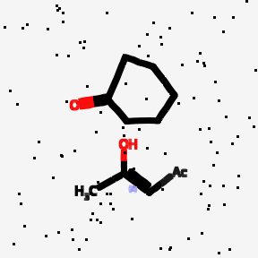 CC(=O)/C=C(/C)O.O=C1CCCCC1